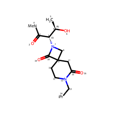 CNC(=O)[C@H]([C@@H](C)O)N1CC2(CCN(CC(C)C)C(=O)C2)C1=O